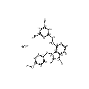 COc1ccc(Cn2c(C)c(C)c3nccc(OCc4cc(F)cc(F)c4)c32)cc1.Cl